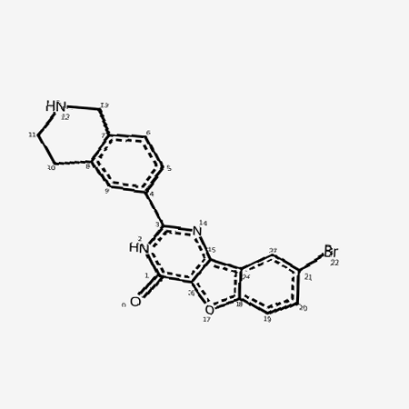 O=c1[nH]c(-c2ccc3c(c2)CCNC3)nc2c1oc1ccc(Br)cc12